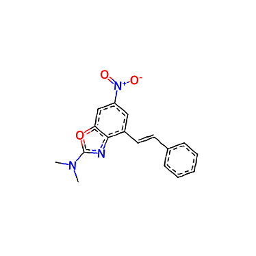 CN(C)c1nc2c(C=Cc3ccccc3)cc([N+](=O)[O-])cc2o1